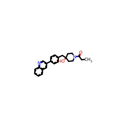 CCC(=O)N1CCC(O)(Cc2ccc(-c3cnc4ccccc4c3)cc2)CC1